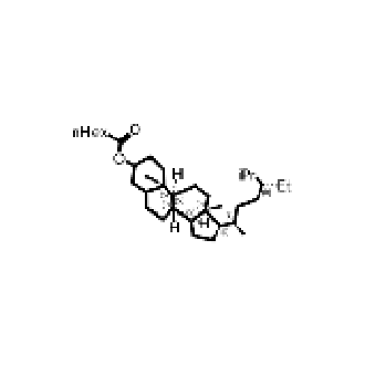 CCCCCCC(=O)OC1CC[C@@]2(C)C(CC[C@H]3[C@@H]4CC[C@H]([C@H](C)CC[C@@H](CC)C(C)C)[C@@]4(C)CC[C@@H]32)C1